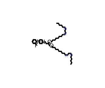 CCCCC/C=C\C/C=C\CCCCCCCCOCC(CCN1CCN(c2ccccc2F)CC1)OCCCCCCCC/C=C\C/C=C\CCCCC